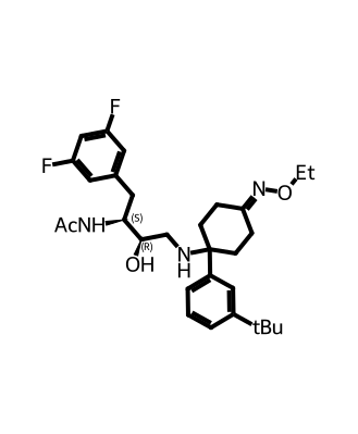 CCON=C1CCC(NC[C@@H](O)[C@H](Cc2cc(F)cc(F)c2)NC(C)=O)(c2cccc(C(C)(C)C)c2)CC1